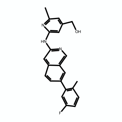 Cc1cc(CO)cc(Nc2cc3ccc(-c4cc(F)ccc4C)cc3cn2)n1